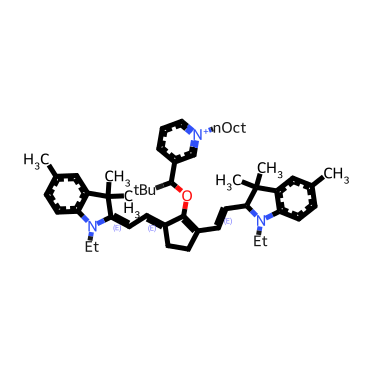 CCCCCCCC[n+]1cccc(C(OC2=C(/C=C/C3N(CC)c4ccc(C)cc4C3(C)C)CC/C2=C\C=C2\N(CC)c3ccc(C)cc3C2(C)C)C(C)(C)C)c1